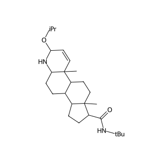 CC(C)OC1C=CC2(C)C(CCC3C2CCC2(C)C(C(=O)NC(C)(C)C)CCC32)N1